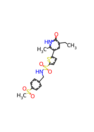 CCc1cc(-c2ccc(S(=O)(=O)NCc3ccc(S(C)(=O)=O)cc3)s2)c(C)[nH]c1=O